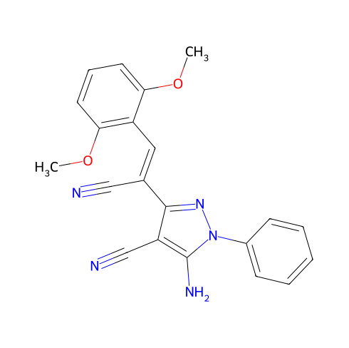 COc1cccc(OC)c1C=C(C#N)c1nn(-c2ccccc2)c(N)c1C#N